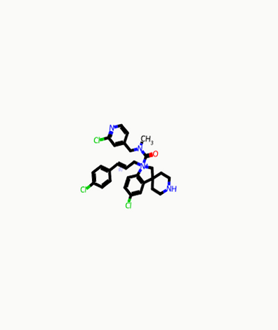 CN(Cc1ccnc(Cl)c1)C(=O)[N+]1(C/C=C/c2ccc(Cl)cc2)CC2(CCNCC2)c2cc(Cl)ccc21